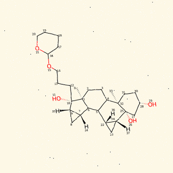 C[C@]12CCC3C(C1[C@@H]1C[C@@H]1[C@@]2(O)CCCOC1CCCCO1)[C@H]1C[C@H]1[C@]1(O)C[C@@H](O)CC[C@]31C